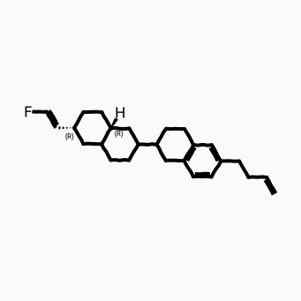 C=CCCc1ccc2c(c1)CCC(C1CCC3C[C@H](C=CF)CC[C@@H]3C1)C2